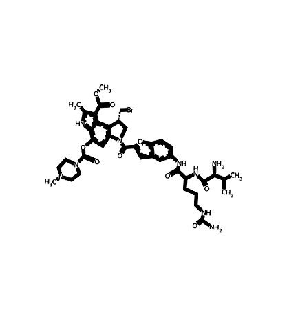 COC(=O)c1c(C)[nH]c2c(OC(=O)N3CCN(C)CC3)cc3c(c12)[C@H](CBr)CN3C(=O)c1cc2cc(NC(=O)C(CCCNC(N)=O)NC(=O)C(N)C(C)C)ccc2o1